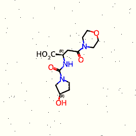 O=C(O)[C@@H](CC(=O)N1CCOCC1)NC(=O)N1CC[C@@H](O)C1